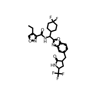 CCc1conc1C(=O)NC(c1nc2cc(CC3CC(C(F)(F)F)NC3=O)ccc2o1)C1CCC(F)(F)CC1